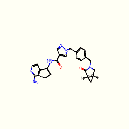 Nc1nccc2c1CCC2NC(=O)c1cnn(Cc2ccc(CN3C[C@@H]4C[C@@H]4C3=O)cc2)c1